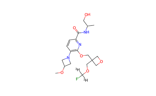 [2H]C([2H])(F)OCC1(COc2nc(C(=O)NC(C)CO)ccc2N2CC(OC)C2)COC1